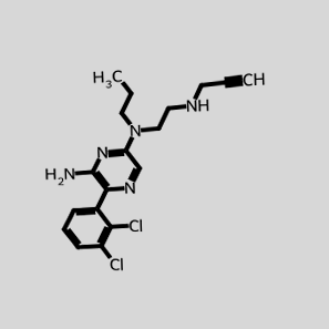 C#CCNCCN(CCC)c1cnc(-c2cccc(Cl)c2Cl)c(N)n1